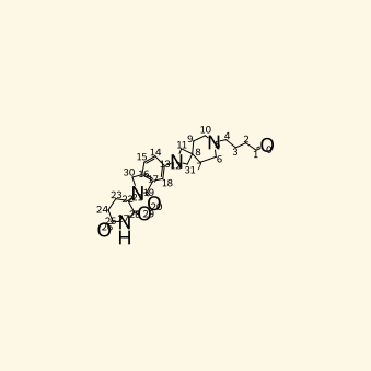 O=CCCCN1CCC2(CC1)CN(c1ccc3c(c1)C(=O)N(C1CCC(=O)NC1=O)C3)C2